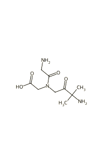 CC(C)(N)C(=O)CN(CC(=O)O)C(=O)CN